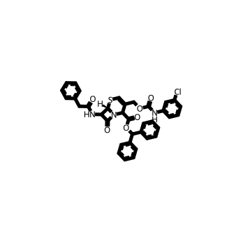 O=C(Cc1ccccc1)NC1C(=O)N2C(C(=O)OC(c3ccccc3)c3ccccc3)C(COC(=O)Nc3cccc(Cl)c3)=CS[C@@H]12